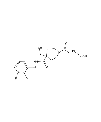 Cc1c(F)cccc1CNC(=O)C1(CO)CCN(C(=O)CNC(=O)O)CC1